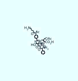 CC(=O)OCC1=C(C(=O)O)N2C(=O)C(N(C(=O)c3cnc(-c4ccc(N(C(C)=O)C(=O)CCCN)cc4)nc3O)C(=O)C(N)c3ccccc3)[C@@H]2SC1